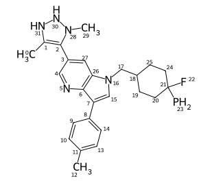 CC1=C(c2cnc3c(-c4ccc(C)cc4)cn(CC4CCC(F)(P)CC4)c3c2)N(C)NN1